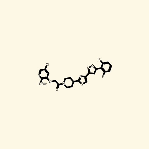 COc1ncc(Cl)cc1OCC(=O)N1CCC(c2nc(C3=NOC(c4c(F)cccc4F)C3)cs2)CC1